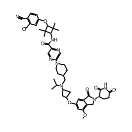 COc1cc(OC2CC(N(CC3CCN(c4cnc(C(=O)NC5C(C)(C)C(Oc6ccc(C#N)c(Cl)c6)C5(C)C)cn4)CC3)C(C)C)C2)cc2c1CN([C@@H]1CCC(=O)NC1=O)C2=O